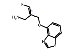 NC/C(=C\F)COc1cccc2scnc12